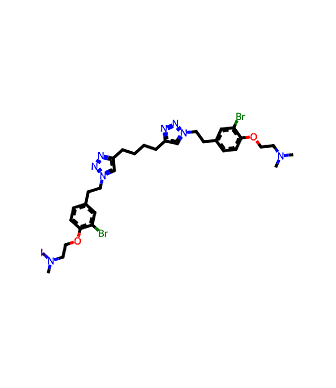 CN(C)CCOc1ccc(CCn2cc(CCCCc3cn(CCc4ccc(OCCN(C)I)c(Br)c4)nn3)nn2)cc1Br